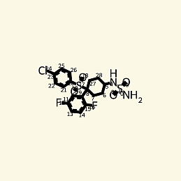 NS(=O)(=O)NC1CCC(c2cc(F)ccc2F)(S(=O)(=O)c2ccc(Cl)cc2)CC1